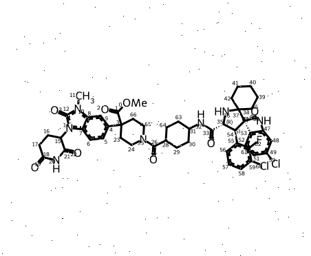 COC(=O)C1(c2ccc3c(c2)n(C)c(=O)n3C2CCC(=O)NC2=O)CCN(C(=O)C2CCC(NC(=O)[C@@H]3NC4(CCCCC4)[C@@]4(C(=O)Nc5cc(Cl)ccc54)[C@H]3c3cccc(Cl)c3F)CC2)CC1